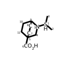 C[SH](C)N1CC2(C(=O)O)CCC1CC2